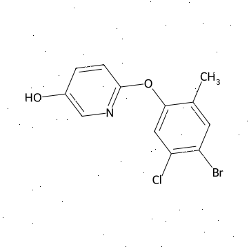 Cc1cc(Br)c(Cl)cc1Oc1ccc(O)cn1